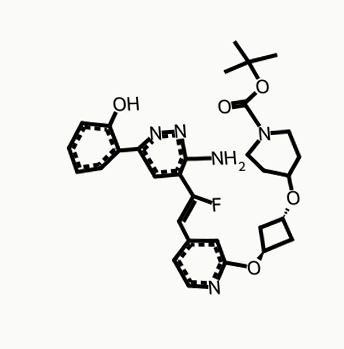 CC(C)(C)OC(=O)N1CCC(O[C@H]2C[C@H](Oc3cc(C=C(F)c4cc(-c5ccccc5O)nnc4N)ccn3)C2)CC1